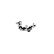 CC(C)NC(=O)OC1COC(c2cc(Nc3nccn4nc(COC(F)F)cc34)n[nH]2)C1